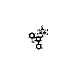 O=c1[nH]c(=O)n(Cc2cc(C3CCCCC3)c(O)c(C3CCCCC3)c2)c(=O)[nH]1